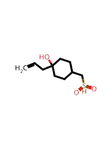 C=CCC1(O)CCC(C[SH](=O)=O)CC1